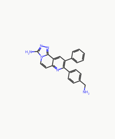 NCc1ccc(-c2nc3ccn4c(N)nnc4c3cc2-c2ccccc2)cc1